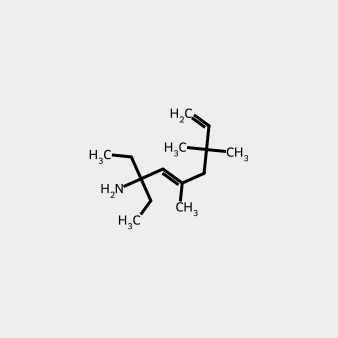 C=CC(C)(C)CC(C)=CC(N)(CC)CC